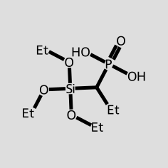 CCO[Si](OCC)(OCC)C(CC)P(=O)(O)O